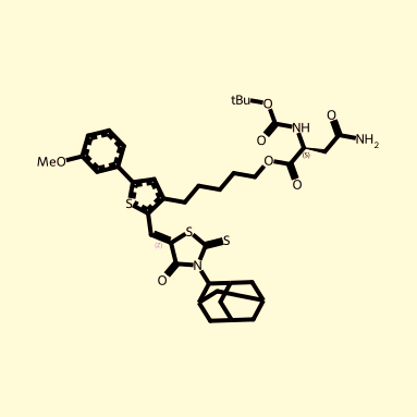 COc1cccc(-c2cc(CCCCCOC(=O)[C@H](CC(N)=O)NC(=O)OC(C)(C)C)c(/C=C3\SC(=S)N(C4C5CC6CC(C5)CC4C6)C3=O)s2)c1